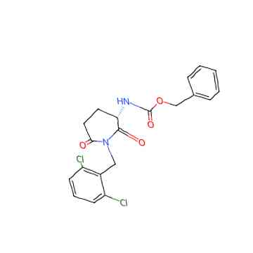 O=C(N[C@H]1CCC(=O)N(Cc2c(Cl)cccc2Cl)C1=O)OCc1ccccc1